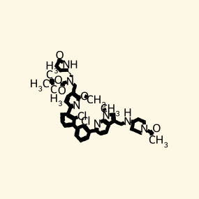 COc1nc(-c2cccc(-c3cccc(-c4ccc5c(CNC6CCN(C(C)=O)CC6)cn(C)c5n4)c3Cl)c2Cl)ccc1CN(C[C@@H]1CCC(=O)N1)C(=O)OC(C)(C)C